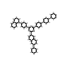 c1ccc(-c2ccc(-c3ccc(-c4nc(-c5ccc(-c6cccc7ccccc67)cc5)nc(-c5ccc6cc(-c7ccccc7)ccc6c5)n4)cc3)cc2)cc1